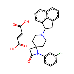 O=C(O)/C=C/C(=O)O.O=C1CC2(CCN(C3Cc4cccc5cccc3c45)CC2)N1c1cccc(Cl)c1